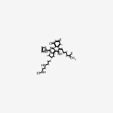 CCNCCNCCC[C@H]1CC2=C(C(=N)/C=C\CCCC(C)F)[C@H](c3ccc(F)cc3Cl)N=C(C3NC=CS3)N2C1